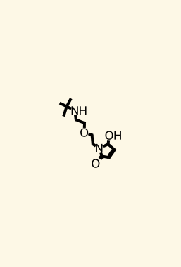 CC(C)(C)NCCOCCN1C(=O)C=CC1O